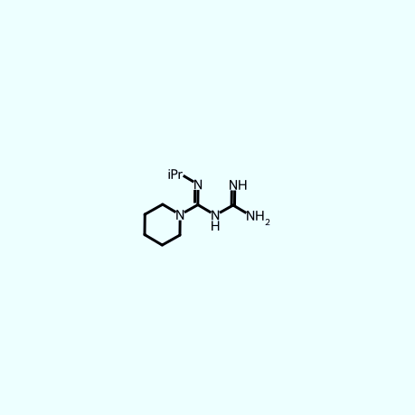 CC(C)/N=C(/NC(=N)N)N1CCCCC1